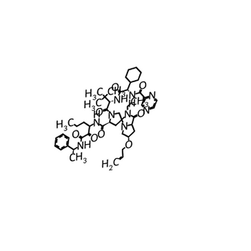 C=CCO[C@@H]1CC2C(=O)N(CC)C3(C[C@@H](C(=O)NC(CCC)C(=O)C(=O)N[C@@H](C)c4ccccc4)N(C(=O)[C@@H](NC(=O)[C@@H](NC(=O)c4cnccn4)C4CCCCC4)C(C)(C)C)C3)N2C1